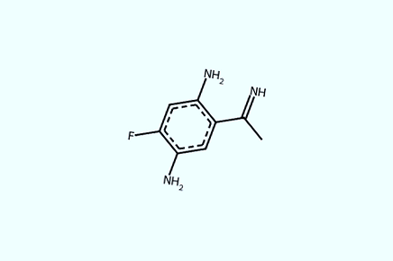 CC(=N)c1cc(N)c(F)cc1N